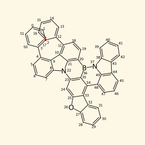 c1ccc(-c2cccc3c2c2c(-c4ccccc4)ccc4c2n3-c2cc3oc5ccccc5c3c3c2B4n2c4ccccc4c4cccc-3c42)cc1